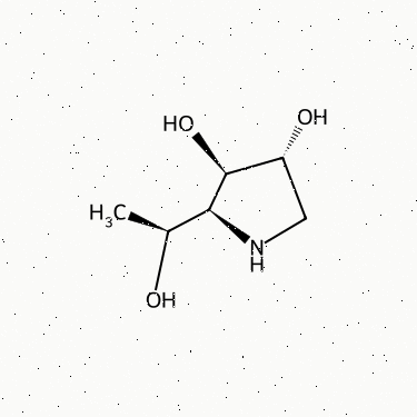 C[C@H](O)[C@@H]1NC[C@@H](O)[C@@H]1O